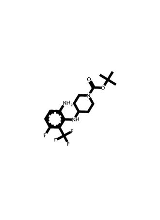 CC(C)(C)OC(=O)N1CCC(Nc2c(N)ccc(F)c2C(F)(F)F)CC1